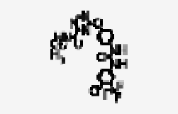 CONC(=O)c1ncnc(Oc2ccc(NC(=O)Nc3ccc(Cl)c(C(F)(F)F)c3)cc2)n1